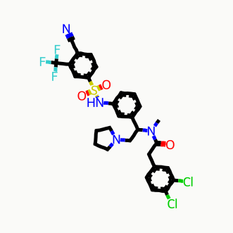 CN(C(=O)Cc1ccc(Cl)c(Cl)c1)C(CN1CCCC1)c1cccc(NS(=O)(=O)c2ccc(C#N)c(C(F)(F)F)c2)c1